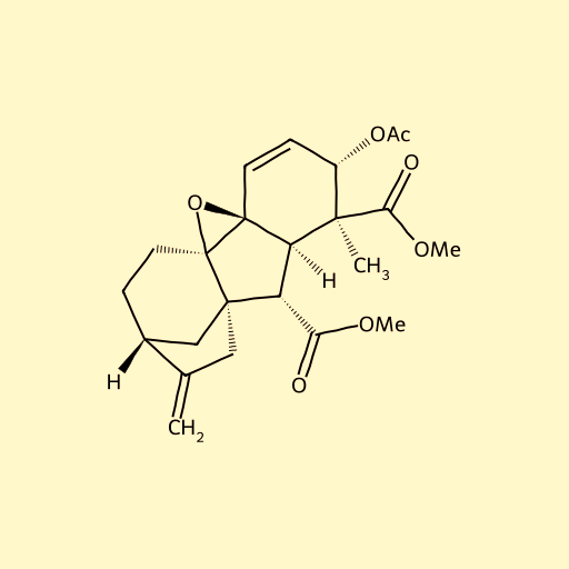 C=C1C[C@]23C[C@H]1CC[C@@]21O[C@]12C=C[C@H](OC(C)=O)[C@@](C)(C(=O)OC)[C@H]2[C@@H]3C(=O)OC